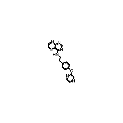 c1cnc(Oc2ccc(CCNc3ncnc4nccnc34)cc2)cn1